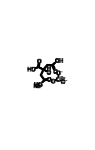 O=C(O)CC(O)(CC(=O)O)C(=O)O.[Na+].[O-][Cl+2]([O-])[O-]